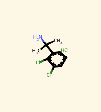 CC(C)(N)c1cccc(Cl)c1Cl.Cl